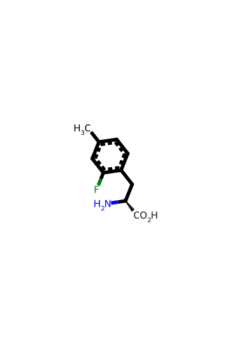 Cc1ccc(C[C@H](N)C(=O)O)c(F)c1